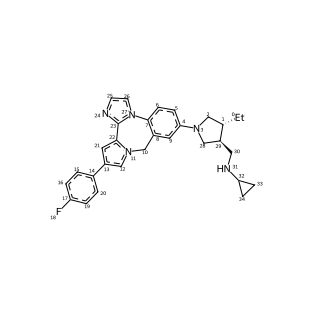 CC[C@H]1CN(c2ccc3c(c2)Cn2cc(-c4ccc(F)cc4)cc2-c2nccn2-3)C[C@@H]1CNC1CC1